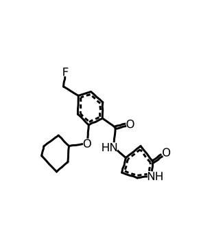 O=C(Nc1cc[nH]c(=O)c1)c1ccc(CF)cc1OC1CCCCC1